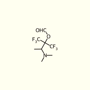 CC(N(C)C)C(OC=O)(C(F)(F)F)C(F)(F)F